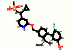 CO[C@H](c1cc(COc2cc([C@@H](CP(C)(=O)O)C3CC3)ccn2)ccc1-c1cc(O)ccc1F)C(C)(C)C